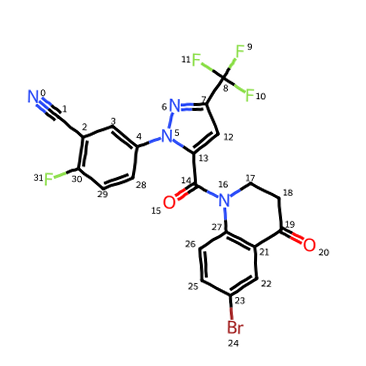 N#Cc1cc(-n2nc(C(F)(F)F)cc2C(=O)N2CCC(=O)c3cc(Br)ccc32)ccc1F